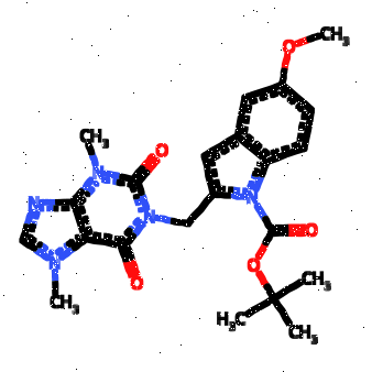 COc1ccc2c(c1)cc(Cn1c(=O)c3c(ncn3C)n(C)c1=O)n2C(=O)OC(C)(C)C